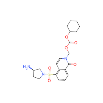 N[C@@H]1CCN(S(=O)(=O)c2cccc3c(=O)n(COC(=O)OC4CCCCC4)ccc23)C1